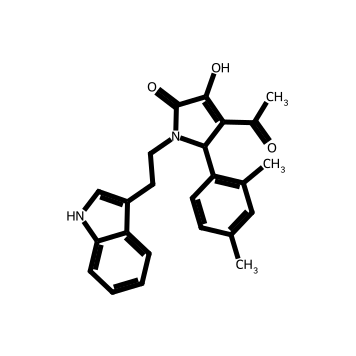 CC(=O)C1=C(O)C(=O)N(CCc2c[nH]c3ccccc23)C1c1ccc(C)cc1C